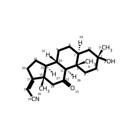 C[C@@]1(O)CC[C@@]2(C)[C@@H](CC[C@@H]3[C@@H]2C(=O)C[C@]2(C)/C(=C\C#N)CC[C@@H]32)C1